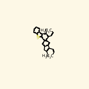 C/C=C\C1=C(C)Cc2cc3c(cc21)c(/C=C\C)c(C)c1c2ccccc2sc31